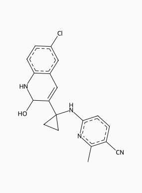 Cc1nc(NC2(C3=Cc4cc(Cl)ccc4NC3O)CC2)ccc1C#N